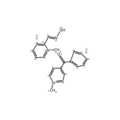 C[n+]1ccc(C(=O)c2ccccc2)cc1.C[n+]1ccccc1C=NO.[I-].[I-]